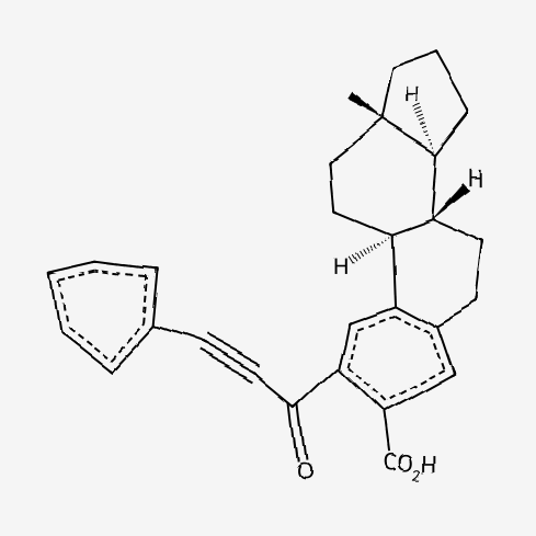 C[C@@]12CCC[C@H]1[C@@H]1CCc3cc(C(=O)O)c(C(=O)C#Cc4ccccc4)cc3[C@H]1CC2